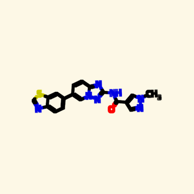 Cn1cc(C(=O)Nc2nc3ccc(-c4ccc5ncsc5c4)cn3n2)cn1